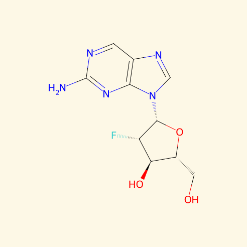 Nc1ncc2ncn([C@@H]3O[C@H](CO)[C@@H](O)[C@@H]3F)c2n1